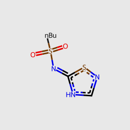 CCCCS(=O)(=O)/N=c1/[nH]cns1